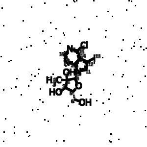 C[C@]1(O)[C@H](O)[C@@H](CO)O[C@H]1n1cc(I)c2c(Cl)ncnc21